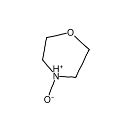 [O-][NH+]1CCOCC1